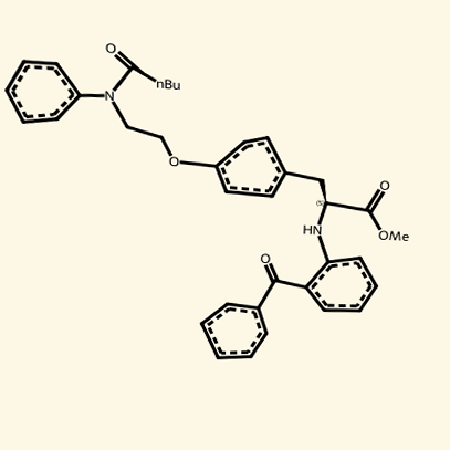 CCCCC(=O)N(CCOc1ccc(C[C@H](Nc2ccccc2C(=O)c2ccccc2)C(=O)OC)cc1)c1ccccc1